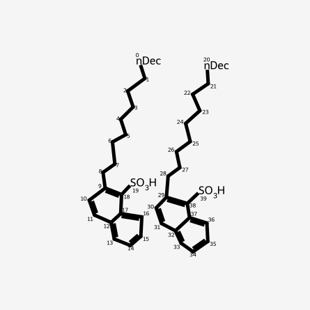 CCCCCCCCCCCCCCCCCCc1ccc2ccccc2c1S(=O)(=O)O.CCCCCCCCCCCCCCCCCCc1ccc2ccccc2c1S(=O)(=O)O